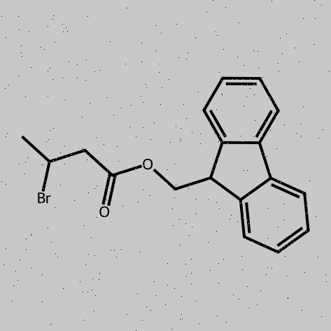 CC(Br)CC(=O)OCC1c2ccccc2-c2ccccc21